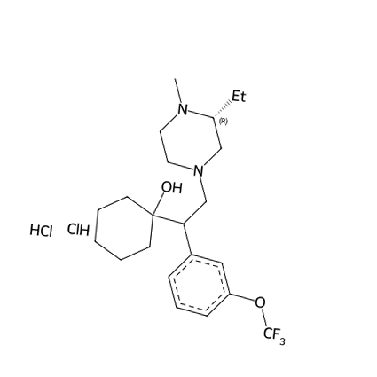 CC[C@@H]1CN(CC(c2cccc(OC(F)(F)F)c2)C2(O)CCCCC2)CCN1C.Cl.Cl